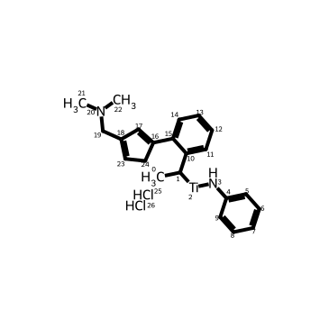 C[CH]([Ti][NH]c1ccccc1)c1ccccc1C1=CC(CN(C)C)=CC1.Cl.Cl